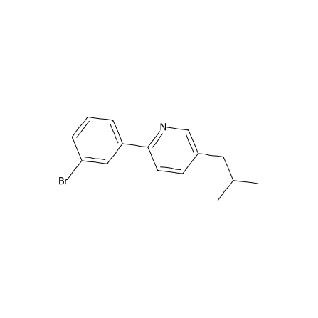 CC(C)Cc1ccc(-c2cccc(Br)c2)nc1